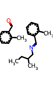 CCC(C)CN=Cc1ccccc1C.Cc1ccccc1C=O